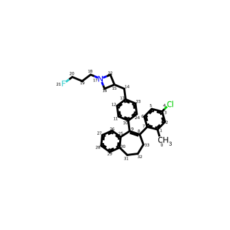 Cc1cc(Cl)ccc1C1=C(c2ccc(CC3CN(CCCF)C3)cc2)c2ccccc2CCC1